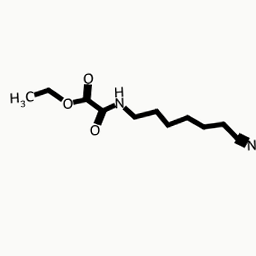 CCOC(=O)C(=O)NCCCCCCC#N